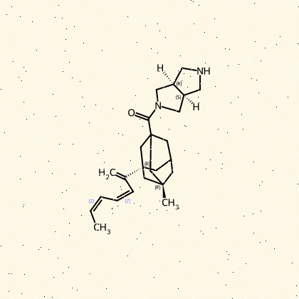 C=C(/C=C\C=C/C)[C@]12CC3CC(C(=O)N4C[C@H]5CNC[C@H]5C4)(C[C@](C)(C3)C1)C2